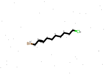 ClCCCCCCCC=CCBr